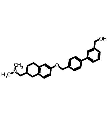 CN(C)CC1CCc2cc(OCc3ccc(-c4cccc(CO)c4)cc3)ccc2C1